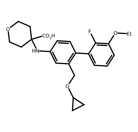 CCOc1cccc(-c2ccc(NC3(C(=O)O)CCOCC3)cc2COC2CC2)c1F